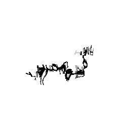 N=C(N)NCCc1cccc(-c2coc(-c3cccc(-c4nc(-c5cccc(CCNC(=N)N)c5)co4)c3)n2)c1